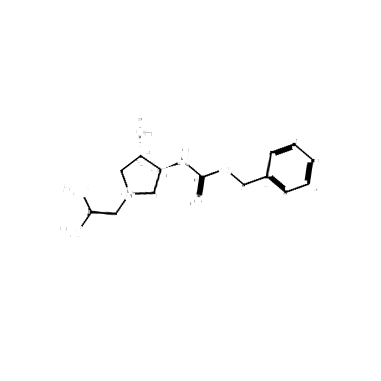 C[C](C)CN1C[C@H](NC(=O)OCc2ccccc2)[C@@H](O)C1